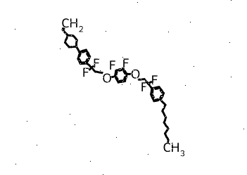 C=CC1CCC(c2ccc(C(F)(F)CCOc3ccc(OCCC(F)(F)c4ccc(CCCCCCCC)cc4)c(F)c3F)cc2)CC1